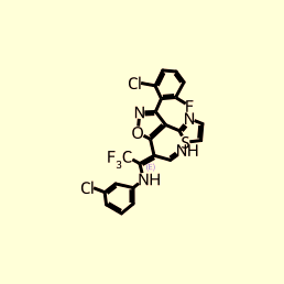 N=C/C(=C(\Nc1cccc(Cl)c1)C(F)(F)F)c1onc(-c2c(F)cccc2Cl)c1-c1nccs1